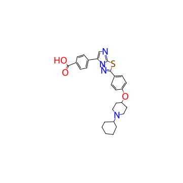 O=C(O)c1ccc(-c2cnc3sc(-c4ccc(OC5CCN(C6CCCCC6)CC5)cc4)nn23)cc1